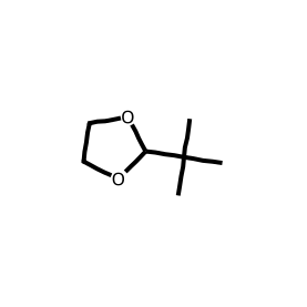 CC(C)(C)C1OCCO1